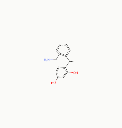 CC(c1ccc(O)cc1O)c1ccccc1CN